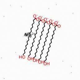 O=C([O-])CCCCCCCCCCCCCCCCCO.O=C([O-])CCCCCCCCCCCCCCCCCO.O=C([O-])CCCCCCCCCCCCCCCCCO.O=C([O-])CCCCCCCCCCCCCCCCCO.O=C([O-])CCCCCCCCCCCCCCCCCO.[Al+3].[Mg+2]